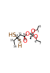 CCO[Si](C)(OCC)OC(=O)CC(S)(S)CC